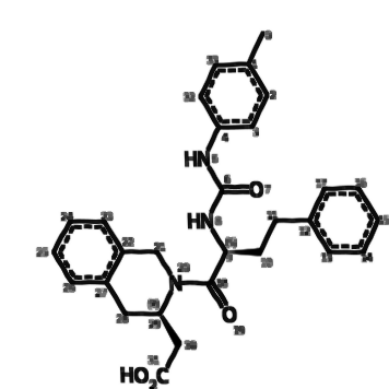 Cc1ccc(NC(=O)N[C@@H](CCc2ccccc2)C(=O)N2Cc3ccccc3C[C@@H]2CC(=O)O)cc1